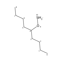 CCCCC(CCCC)O[SiH2]